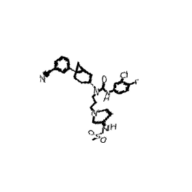 CS(=O)(=O)NC1CCN(CCCN(C(=O)Nc2ccc(F)c(Cl)c2)[C@@H]2CC[C@]3(c4cccc(C#N)c4)CC3C2)C1